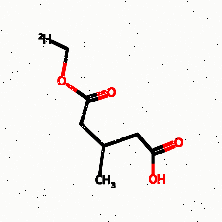 [2H]COC(=O)CC(C)CC(=O)O